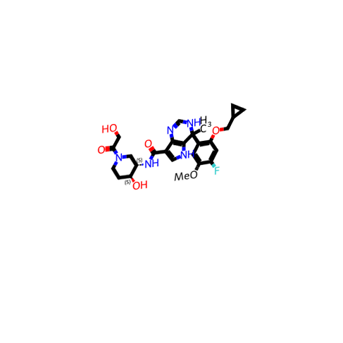 COc1cc(C2(C)NC=Nc3c(C(=O)N[C@H]4CN(C(=O)CO)CC[C@@H]4O)c[nH]c32)c(OCC2CC2)cc1F